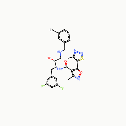 CCc1cccc(CNC[C@H](O)[C@H](Cc2cc(F)cc(F)c2)NC(=O)c2c(C)noc2-c2snnc2C)c1